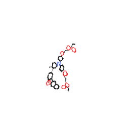 C=CC(=O)OCCCOc1ccc(N(c2ccc(OCCCOC(=O)C=C)cc2)c2ccc(C)c(-c3ccc4oc5cc6ccccc6cc5c4c3)c2)cc1